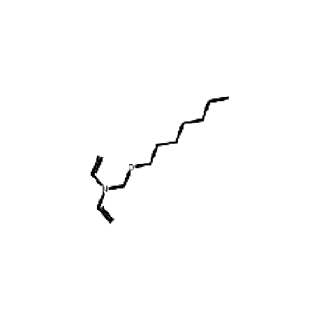 C=CN(C=C)COCCCCCCC